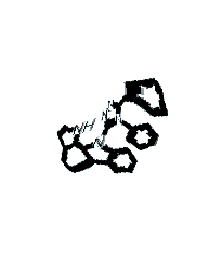 C1=CC2=CC=C3c4ccccc4N(c4nnc(-c5ccccc5)n4-c4ccccc4)C3C2N1